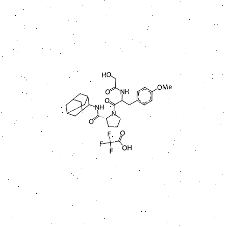 COc1ccc(CC(NC(=O)CO)C(=O)N2CCC[C@@H]2C(=O)NC2C3CC4CC(C3)CC2C4)cc1.O=C(O)C(F)(F)F